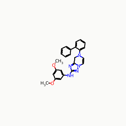 COc1cc(Nc2nc3n(n2)C=CN(c2ccccc2-c2ccccc2)C3)cc(OC)c1